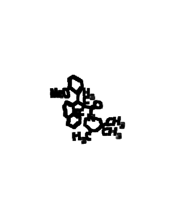 COc1ccccc1C(c1cccc2ccccc12)C(C)(C#N)C(=O)N1CCC(C)CC(C)(C)C1